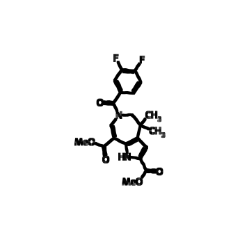 COC(=O)C1=CN(C(=O)c2ccc(F)c(F)c2)CC(C)(C)c2cc(C(=O)OC)[nH]c21